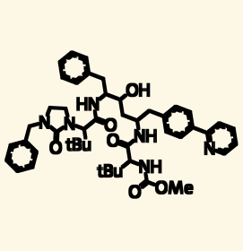 COC(=O)NC(C(=O)NC(Cc1ccc(-c2ccccn2)cc1)CC(O)C(Cc1ccccc1)NC(=O)C(N1CCN(Cc2ccccc2)C1=O)C(C)(C)C)C(C)(C)C